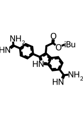 CCC(C)OC(=O)Cc1c(-c2ccc(C(=N)N)cc2)[nH]c2cc(C(=N)N)ccc12